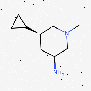 CN1C[C@@H](N)C[C@@H](C2CC2)C1